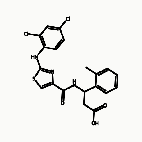 Cc1ccccc1C(CC(=O)O)NC(=O)c1csc(Nc2ccc(Cl)cc2Cl)n1